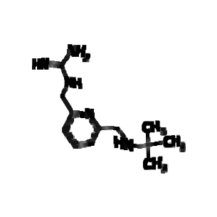 CC(C)(C)NCc1cccc(CNC(=N)N)n1